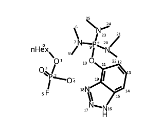 CCCCCCOP(=O)([O-])F.CN(C)[P+](Oc1cccc2[nH]nnc12)(N(C)C)N(C)C